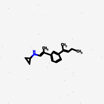 CC/C=C(\C)c1cccc(/C(C)=C/NC2CC2)c1